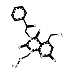 CCc1cc(=O)oc2c1c(=O)n(CC(=O)c1ccccc1)c(=O)n2COC